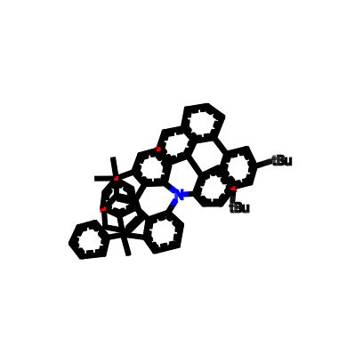 CC(C)(C)c1cc(-c2cccc3cccc(-c4ccccc4N(c4cccc5c4C4=C(CCC=C4)C5(C)C)c4cccc5c4-c4ccccc4C5(C)c4ccccc4)c23)cc(C(C)(C)C)c1